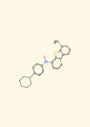 CC(C)c1cccc2c1sc1c(N(I)c3ccc(C4CCCCC4)cc3)cccc12